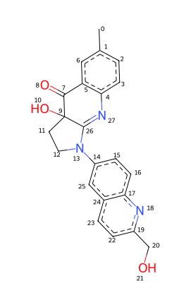 Cc1ccc2c(c1)C(=O)C1(O)CCN(c3ccc4nc(CO)ccc4c3)C1=N2